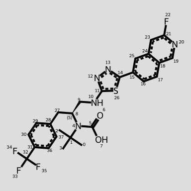 CC(C)(C)N(C(=O)O)[C@H](CNc1nnc(-c2ccc3cnc(F)cc3c2)s1)Cc1ccc(C(F)(F)F)cc1